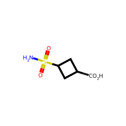 NS(=O)(=O)C1CC(C(=O)O)C1